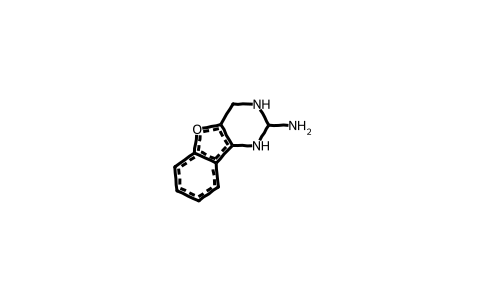 NC1NCc2oc3ccccc3c2N1